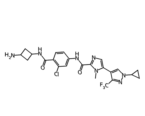 Cn1c(-c2cn(C3CC3)nc2C(F)(F)F)cnc1C(=O)Nc1ccc(C(=O)NC2CC(N)C2)c(Cl)c1